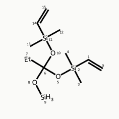 C=C[Si](C)(C)OC(CC)(O[SiH3])O[Si](C)(C)C=C